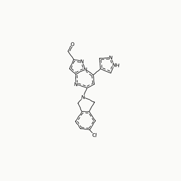 O=Cc1cc2nc(N3Cc4ccc(Cl)cc4C3)cc(-c3cn[nH]c3)n2n1